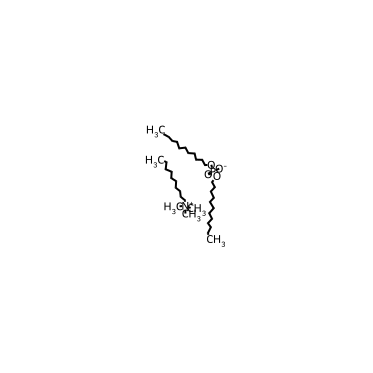 CCCCCCCCCCCCOP(=O)([O-])OCCCCCCCCCCCC.CCCCCCCCCC[N+](C)(C)C